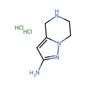 Cl.Cl.Nc1cc2n(n1)CCNC2